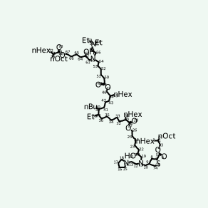 CCCCCCCCC(CCCCCC)COC(=O)C1CC(CN(CCN2CCCC2)CC(O)CCCCCOC(=O)C(CCCCCC)CCCCCC(CC)C(CCCC)CCCC(CCCCCC)COC(=O)CCCCCN(CCN(CC)CC)CC(O)CCCCOC(=O)C(CCCCCC)CCCCCCCC)CS1